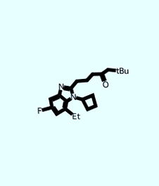 CCc1cc(F)cc2nc(CCCC(=O)CC(C)(C)C)n(C3CCC3)c12